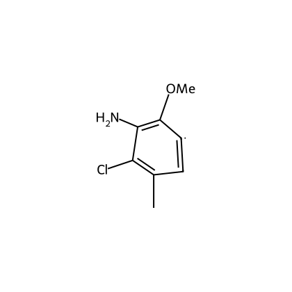 COc1[c]cc(C)c(Cl)c1N